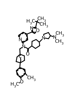 COc1ccc(C23CCC(CN(C(=O)C4CCC(N5CCC(N(C)C)C5)CC4)c4cc(-c5coc(C(C)(C)C)n5)ccn4)(CC2)CC3)cc1C